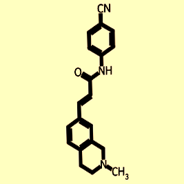 CN1CCc2ccc(C=CC(=O)Nc3ccc(C#N)cc3)cc2C1